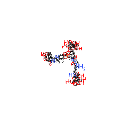 CCc1c2c(nc3ccc(OS(=O)(=O)Oc4cc(C(=O)N(C)CCN(C)C(=O)[C@@H](N)CCCC(=O)N[C@H]5O[C@H](C(=O)O)[C@@H](O)[C@H](O)[C@H]5O)ccc4O[C@@H]4O[C@H](C(=O)O)[C@@H](O)[C@H](O)[C@H]4O)cc13)-c1cc3c(c(=O)n1C2)COC(=O)[C@]3(O)CC